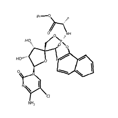 CC(C)OC(=O)[C@H](C)N[P@](=O)(OC[C@@]1(C(F)F)O[C@@H](n2cc(Cl)c(N)nc2=O)[C@H](O)[C@@H]1O)Oc1cccc2ccccc12